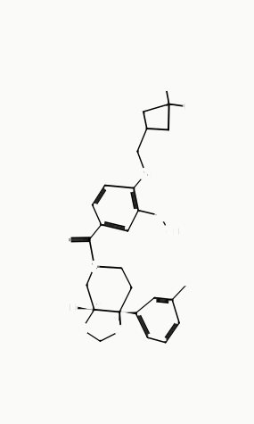 COc1cc(C(=O)N2CC[C@]3(c4cccc(F)c4)OCO[C@@H]3C2)ccc1NCC1CC(F)(F)C1